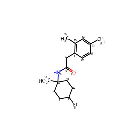 CCC1CCC(NC(=O)Cc2ccc(C)cc2C)(C(=O)O)CC1